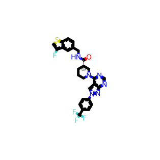 O=C(NCc1ccc2scc(F)c2c1)[C@H]1CCCN(c2ncnc3nn(-c4ccc(C(F)(F)F)cc4)cc23)C1